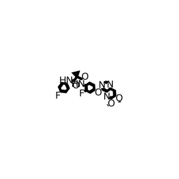 COc1cc2ncnc(Oc3ccc(NC(=O)C4(C(=O)Nc5ccc(F)cc5)CC4)c(F)c3)c2nc1OC